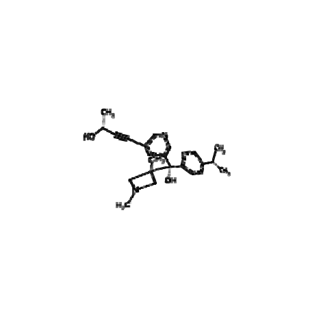 CC(C)c1ccc([C@](O)(c2cncc(C#C[C@@H](C)O)c2)C2(C)CN(C)C2)cc1